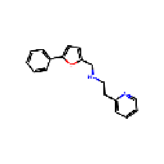 c1ccc(-c2ccc(CNCCc3ccccn3)o2)cc1